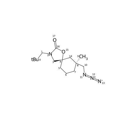 CC(C)(C)CN1C[C@@]2(CCC[C@](C)(CN=[N+]=[N-])C2)OC1=O